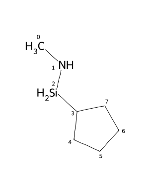 CN[SiH2]C1CCCC1